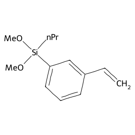 C=Cc1cccc([Si](CCC)(OC)OC)c1